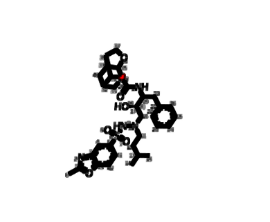 Cc1nc2cc(S(=O)(=O)NN(CCC(C)C)C[C@@H](O)C(Cc3ccccc3)NC(=O)OC3C4COC5OCC3C5C4)ccc2o1